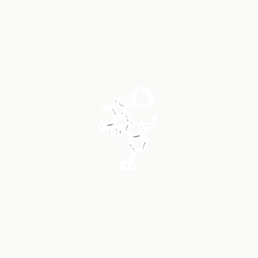 CCOc1ccc(C2CO2)cc1-c1nn2c(C3CCCCCC3)nc(C)c2c(=O)[nH]1